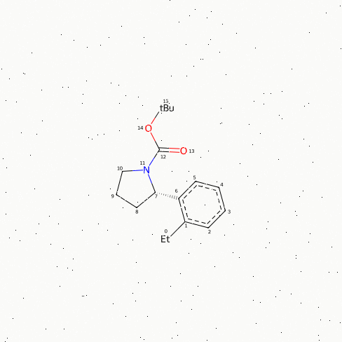 CCc1ccccc1[C@@H]1CCCN1C(=O)OC(C)(C)C